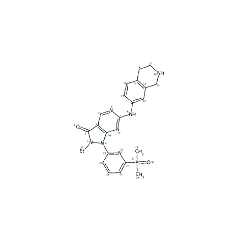 CCn1c(=O)c2cnc(Nc3ccc4c(c3)CNCC4)nc2n1-c1cccc(P(C)(C)=O)n1